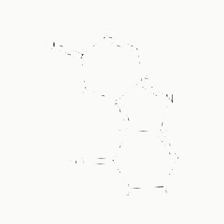 O=C1C=CC2=NC3=CC=CC(=O)C3=C2C1